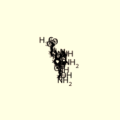 CS(=O)(=O)CCN1CCN(c2ccc(S(=O)(=O)NCC(O)CN)c(S(N)(=O)=O)c2-c2nn[nH]n2)CC1